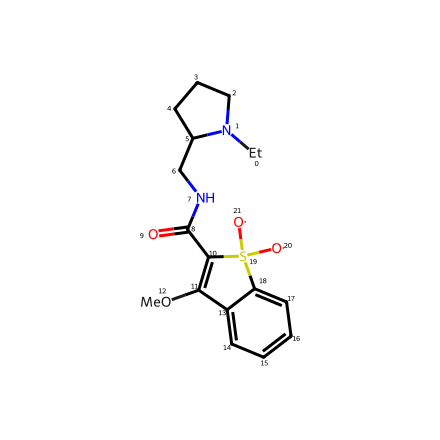 CCN1CCCC1CNC(=O)C1=C(OC)c2ccccc2S1([O])[O]